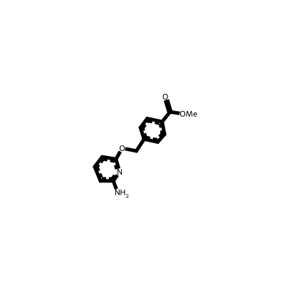 COC(=O)c1ccc(COc2cccc(N)n2)cc1